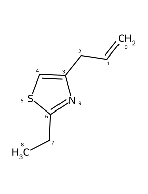 C=CCc1csc(CC)n1